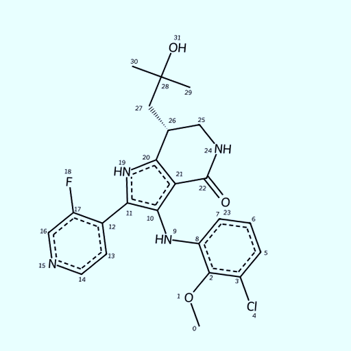 COc1c(Cl)cccc1Nc1c(-c2ccncc2F)[nH]c2c1C(=O)NC[C@H]2CC(C)(C)O